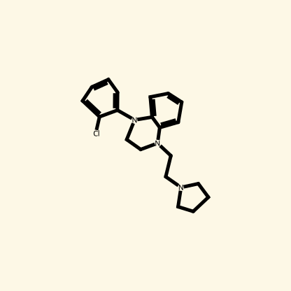 Clc1ccccc1N1CCN(CCN2CCCC2)c2ccccc21